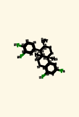 CCC[C@@H]1CC[C@H]2c3cc(F)cc(F)c3CC[C@@H]2[C@H]1c1ccc(F)c(F)c1